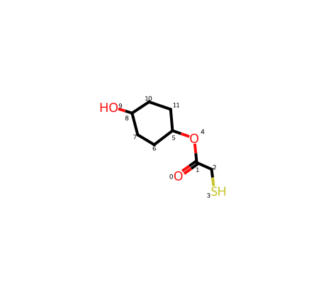 O=C(CS)OC1CCC(O)CC1